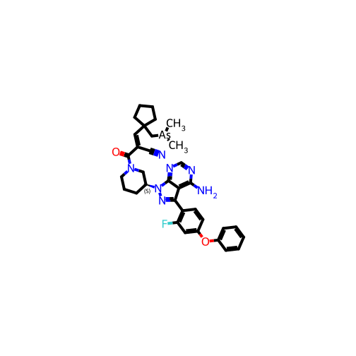 C[As](C)CC1(C=C(C#N)C(=O)N2CCC[C@H](n3nc(-c4ccc(Oc5ccccc5)cc4F)c4c(N)ncnc43)C2)CCCC1